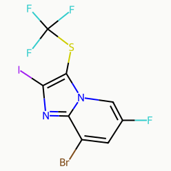 Fc1cc(Br)c2nc(I)c(SC(F)(F)F)n2c1